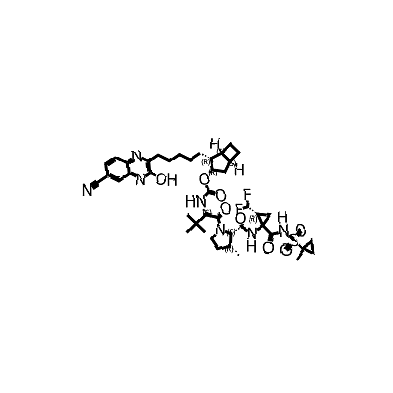 C[C@@H]1CCN(C(=O)[C@@H](NC(=O)O[C@@H]2C[C@@H]3CC[C@@H]3[C@H]2CCCCCc2nc3ccc(C#N)cc3nc2O)C(C)(C)C)[C@@H]1C(=O)NC1(C(=O)NS(=O)(=O)C2(C)CC2)C[C@H]1C(F)F